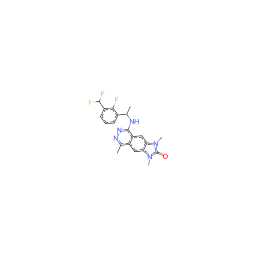 Cc1nnc(NC(C)c2cccc(C(F)F)c2F)c2cc3c(cc12)n(C)c(=O)n3C